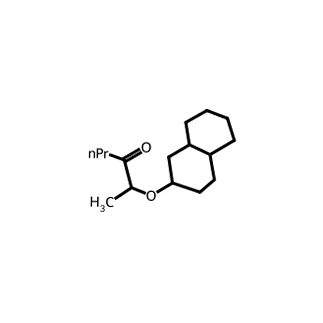 CCCC(=O)C(C)OC1CCC2CCCCC2C1